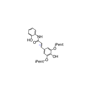 CCCC(C)Oc1cc(/C=C/C(=O)Nc2ccccc2O)cc(OC(C)CCC)c1O